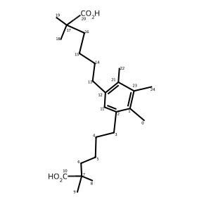 Cc1c(CCCCC(C)(C)C(=O)O)cc(CCCCC(C)(C)C(=O)O)c(C)c1C